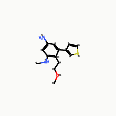 CNc1cc(N)cc(-c2ccsc2)c1CCOC